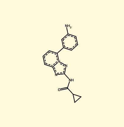 Nc1cccc(-c2cccc3nc(NC(=O)C4CC4)nn23)c1